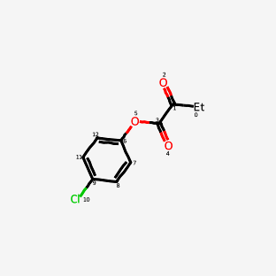 CCC(=O)C(=O)Oc1ccc(Cl)cc1